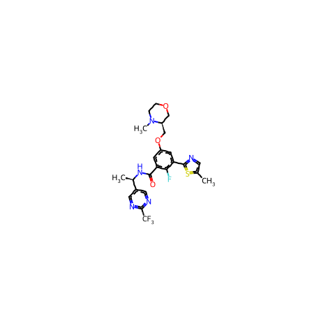 Cc1cnc(-c2cc(OC[C@@H]3COCCN3C)cc(C(=O)N[C@H](C)c3cnc(C(F)(F)F)nc3)c2F)s1